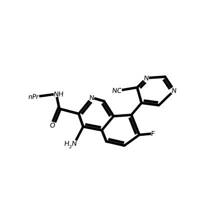 CCCNC(=O)c1ncc2c(-c3cncnc3C#N)c(F)ccc2c1N